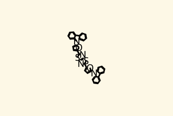 c1ccc2c(c1)c1ccccc1n2-c1ccc(-c2nc3sc(-c4ccc(-n5c6ccccc6c6ccccc65)o4)nc3s2)o1